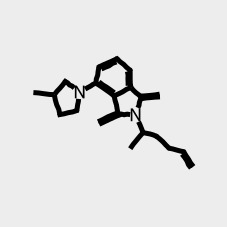 C=CCCC(C)n1c(=C)c2cccc(N3CCC(C)C3)c2c1=C